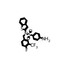 Nc1ccc(S(=O)(=O)N(Cc2ccc(F)c(C(F)(F)F)c2)c2cc3ccccc3s2)cc1